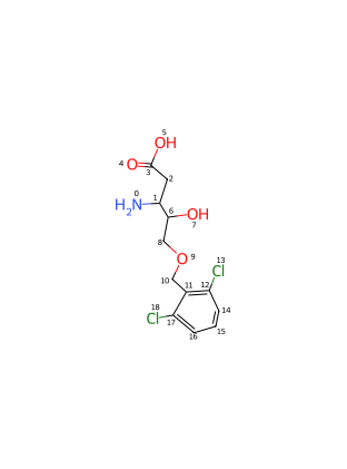 NC(CC(=O)O)C(O)COCc1c(Cl)cccc1Cl